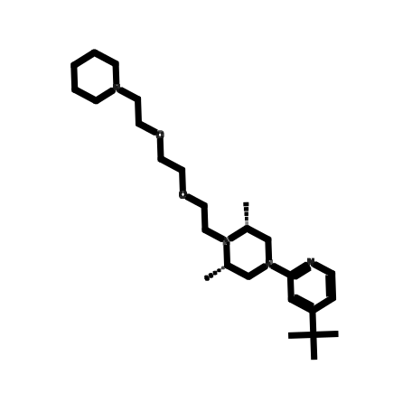 C[C@@H]1CN(c2cc(C(C)(C)C)ccn2)C[C@H](C)N1CCOCCOCCN1CCCCC1